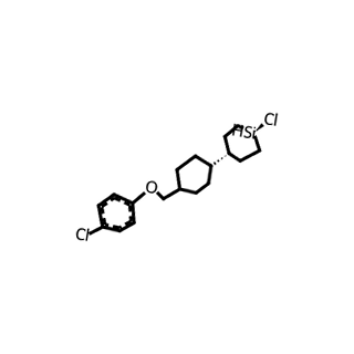 Clc1ccc(OCC2CCC([C@H]3CC[Si@H](Cl)CC3)CC2)cc1